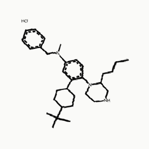 CCCCC1CNCCN1c1ccc(N(C)Cc2ccccc2)cc1C1CCC(C(C)(C)C)CC1.Cl